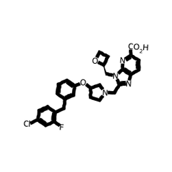 O=C(O)c1ccc2nc(CN3CCC(Oc4cccc(Cc5ccc(Cl)cc5F)c4)C3)n(C[C@@H]3CCO3)c2n1